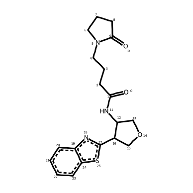 O=C(CCCN1CCCC1=O)NC1COCC1c1nc2ccccc2s1